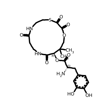 CC1(C)COC(=O)C(=O)SCCNC(=O)CCNC(=O)[C@@H]1OC(=O)[C@@H](N)Cc1ccc(O)c(O)c1